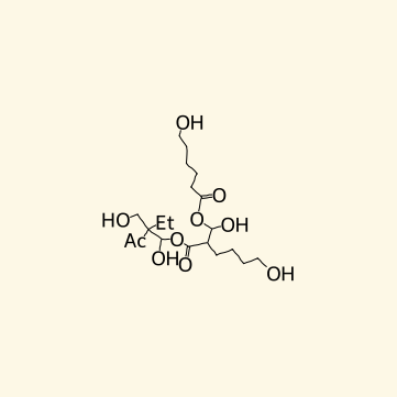 CCC(CO)(C(C)=O)C(O)OC(=O)C(CCCCO)C(O)OC(=O)CCCCCO